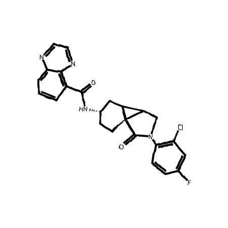 O=C(N[C@H]1CC[C@]23C(=O)N(c4ccc(F)cc4Cl)CC2C3C1)c1cccc2nccnc12